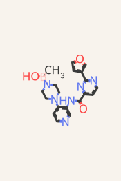 CB(O)N1CCN(c2ccncc2NC(=O)c2ccnc(-c3ccoc3)n2)CC1